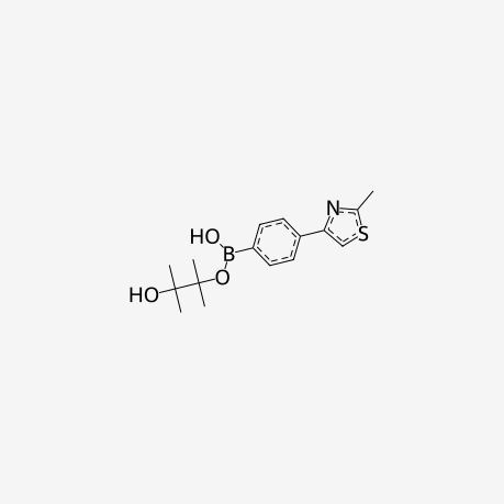 Cc1nc(-c2ccc(B(O)OC(C)(C)C(C)(C)O)cc2)cs1